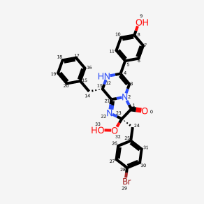 O=C1N2C=C(c3ccc(O)cc3)N[C@@H](Cc3ccccc3)C2=N[C@]1(Cc1ccc(Br)cc1)OO